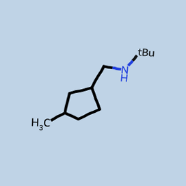 CC1CCC(CNC(C)(C)C)C1